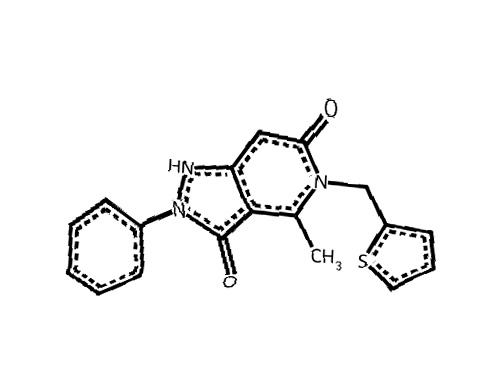 Cc1c2c(=O)n(-c3ccccc3)[nH]c2cc(=O)n1Cc1cccs1